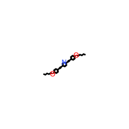 CCCCCOc1ccc(C#Cc2ccc(C#Cc3ccc(OCCCCC)cc3)nc2)cc1